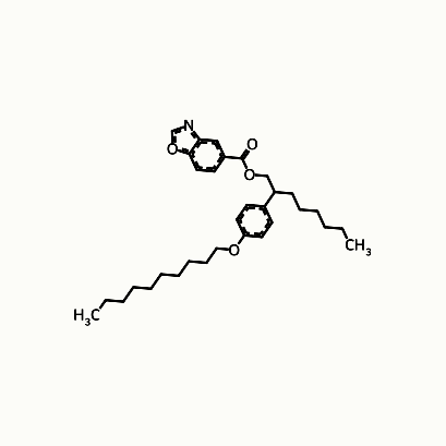 CCCCCCCCCCOc1ccc(C(CCCCCC)COC(=O)c2ccc3ocnc3c2)cc1